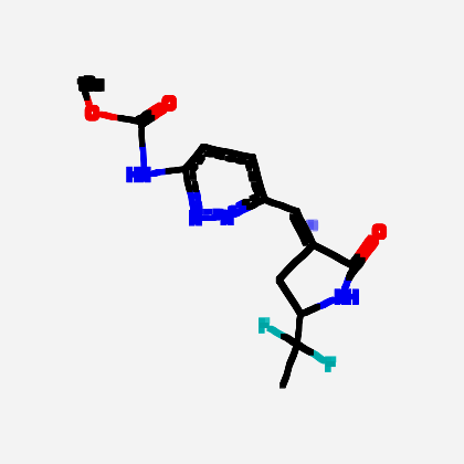 CC(C)(C)OC(=O)Nc1ccc(/C=C2\CC(C(C)(F)F)NC2=O)nn1